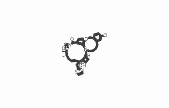 C[C@@H]1[C@@H](C)C/C=C/[C@@](O)(Cc2nccs2)[C@@H]2CC[C@H]2CN2CCCCc3cc(Cl)ccc3COc3ccc(cc32)C(=O)NS1(=O)=O